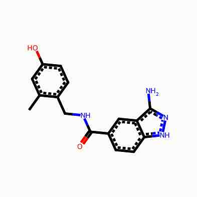 Cc1cc(O)ccc1CNC(=O)c1ccc2[nH]nc(N)c2c1